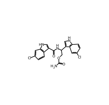 NC(=O)OCC(NC(=O)c1c[nH]c2cc(Cl)ccc12)c1c[nH]c2ccc(Cl)cc12